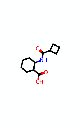 O=C(NC1CCCCC1C(=O)O)C1CCC1